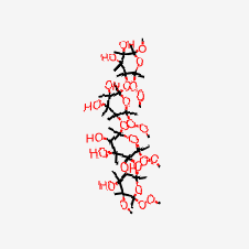 COOC1(C)OC(C)(OC2(C)C(C)(OOC)OC(C)(OC3(C)C(C)(OOC)OC(C)(OC4(C)C(C)(OOC)OC(C)(OC)C(C)(O)C4(C)O)C(C)(O)C3(C)O)C(O)C2(C)O)C(O)C(C)(O)C1(C)OC